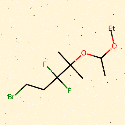 CCOC(C)OC(C)(C)C(F)(F)CCBr